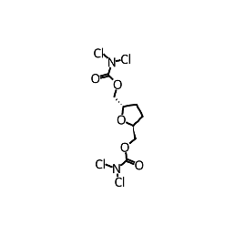 O=C(OC[C@@H]1CC[C@@H](COC(=O)N(Cl)Cl)O1)N(Cl)Cl